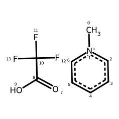 C[n+]1ccccc1.O=C(O)C(F)(F)F